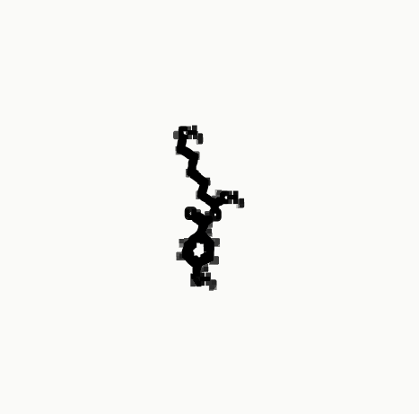 CCCCCCC(C)OC(=O)c1ccc(N)cc1